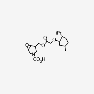 CC(C)[C@@H]1CC[C@@H](C)C[C@H]1OCC(=O)OCC1CN(C(=O)O)CC2OC12